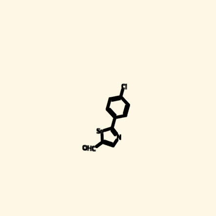 O=Cc1cnc(-c2ccc(Cl)cc2)[se]1